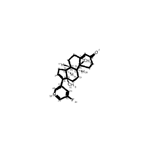 C[C@]12CCC(=O)C=C1CC[C@@H]1[C@@H]2CC[C@]2(C)C(c3cncc(F)c3)=CC[C@@H]12